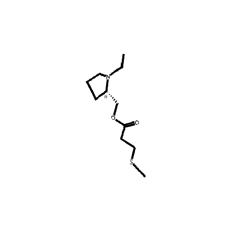 CCN1CCC[C@H]1COC(=O)CCSC